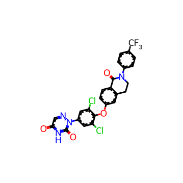 O=C1c2ccc(Oc3c(Cl)cc(-n4ncc(=O)[nH]c4=O)cc3Cl)cc2CCN1c1ccc(C(F)(F)F)cc1